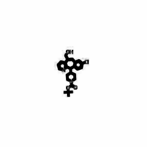 CC(C)(C)OC(=O)N1CCC(C2c3ccc(Cl)cc3C=C(CO)c3cccnc32)CC1